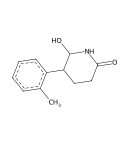 Cc1ccccc1C1CCC(=O)NC1O